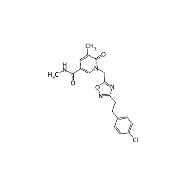 CNC(=O)c1cc(C)c(=O)n(Cc2nc(CCc3ccc(Cl)cc3)no2)c1